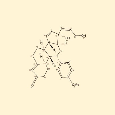 COc1ccc([C@H]2C[C@@]3(C)[C@@H](C=C[C@@]3(O)/C=C\CO)[C@@H]3CCC4=CC(=O)CC[C@@H]4[C@H]32)cc1